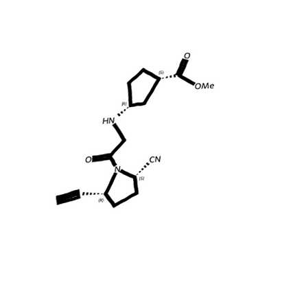 C#C[C@H]1CC[C@@H](C#N)N1C(=O)CN[C@@H]1CC[C@H](C(=O)OC)C1